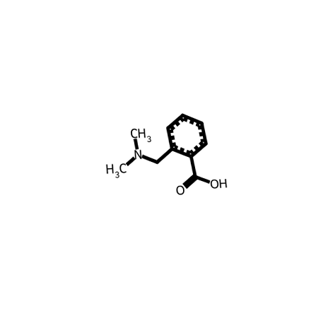 CN(C)Cc1ccccc1C(=O)O